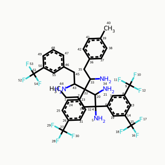 CCCCC(N)(c1cc(C(F)(F)F)cc(C(F)(F)F)c1)C(N)C(c1ccc(C(F)(F)F)cc1)(C(N)Cc1ccc(C)cc1)C(N)Cc1cccc(C(F)(F)F)c1